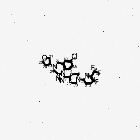 Fc1ccc(N2CCC(c3nnc4n3-c3ccc(Cl)cc3CN([C@@H]3CCOC3)C4)CC2)nc1C(F)F